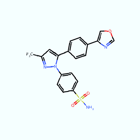 NS(=O)(=O)c1ccc(-n2nc(C(F)(F)F)cc2-c2ccc(-c3cocn3)cc2)cc1